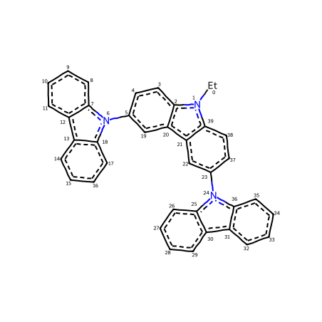 CCn1c2ccc(-n3c4ccccc4c4ccccc43)cc2c2cc(-n3c4ccccc4c4ccccc43)ccc21